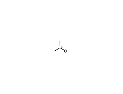 C[I+](C)[O-]